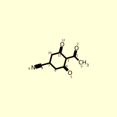 CC(=O)C1C(=O)CC(C#N)CC1=O